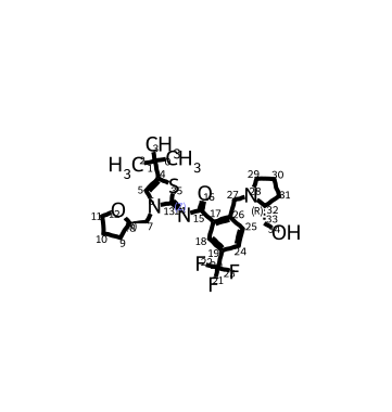 CC(C)(C)c1cn(C[C@H]2CCCO2)/c(=N/C(=O)c2cc(C(F)(F)F)ccc2CN2CCC[C@@H]2CO)s1